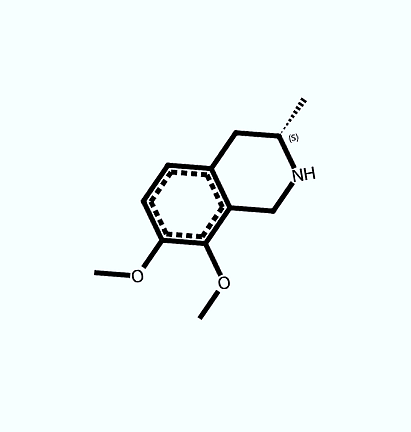 COc1ccc2c(c1OC)CN[C@@H](C)C2